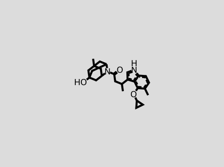 Cc1ccc2[nH]cc(C(C)CC(=O)N3C4CC5(C)CC3CC(O)(C4)C5)c2c1OC1CC1